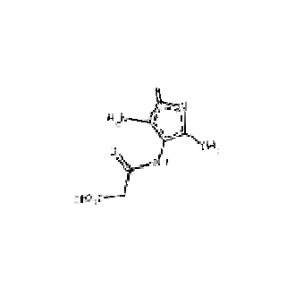 CCOC(=O)CC(=O)Nc1c(C)n[nH]c1N